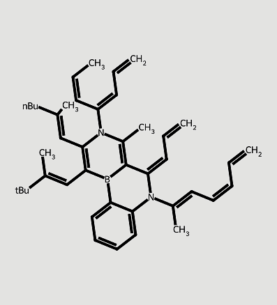 C=C/C=C\C=C(/C)N1/C(=C/C=C)C2=C(C)N(C(/C=C\C)=C/C=C)C(/C=C(\C)CCCC)=C(/C=C(\C)C(C)(C)C)B2c2ccccc21